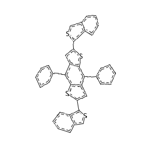 c1ccc(-c2c3cc(-c4scc5ccccc45)sc3c(-c3ccccc3)c3cc(-c4scc5ccccc45)sc23)cc1